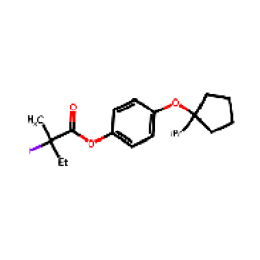 CCC(C)(I)C(=O)Oc1ccc(OC2(C(C)C)CCCC2)cc1